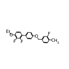 CCOc1ccc(-c2ccc(OCc3ccc(C)c(F)c3)cc2)c(F)c1F